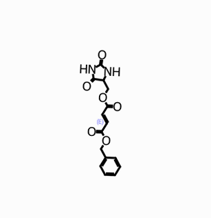 O=C1NC(=O)C(COC(=O)/C=C/C(=O)OCc2ccccc2)N1